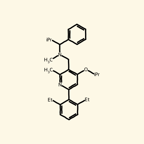 CCc1cccc(CC)c1-c1cc(OC(C)C)c(CN(C)C(c2ccccc2)C(C)C)c(C)n1